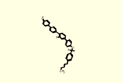 CCCCCc1ccc(C(F)(F)Oc2ccc(-c3ccc(-c4ccc(-c5ccc(F)cc5)cc4)c(F)c3)cc2)cc1